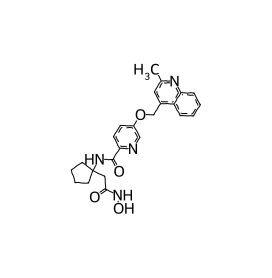 Cc1cc(COc2ccc(C(=O)NC3(CC(=O)NO)CCCC3)nc2)c2ccccc2n1